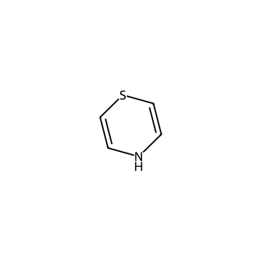 C1=CSC=CN1